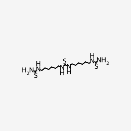 NC(=S)NCCCCCCNC(=S)NCCCCCCNC(N)=S